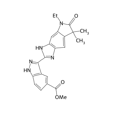 CCN1C(=O)C(C)(C)c2cc3nc(-c4n[nH]c5ccc(C(=O)OC)cc45)[nH]c3cc21